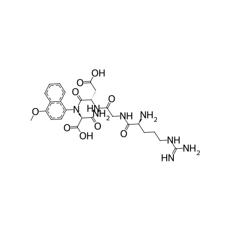 COc1ccc(N(C(=O)[C@H](CC(=O)O)NC(=O)CNC(=O)[C@@H](N)CCCNC(=N)N)[C@@H](C(N)=O)C(=O)O)c2ccccc12